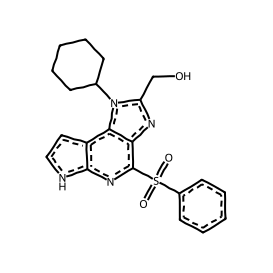 O=S(=O)(c1ccccc1)c1nc2[nH]ccc2c2c1nc(CO)n2C1CCCCC1